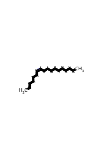 [CH2]CCCCC/C=C\CCCCCCCCCC